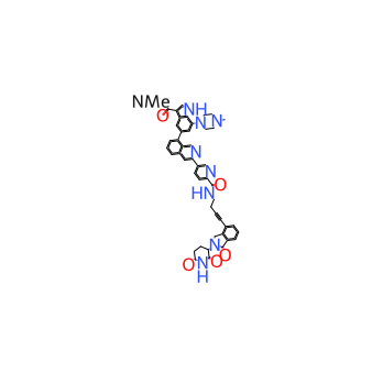 CNC(=O)c1c[nH]c2c(N3CCN(C)CC3)cc(-c3cccc4cc(-c5ccc(C(=O)NCCC#Cc6cccc7c6CN(C6CCC(=O)NC6=O)C7=O)nc5)ncc34)cc12